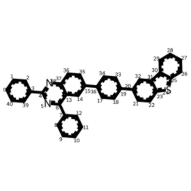 c1ccc(-c2nc(-c3ccccc3)c3cc(-c4ccc(-c5ccc6sc7ccccc7c6c5)cc4)ccc3n2)cc1